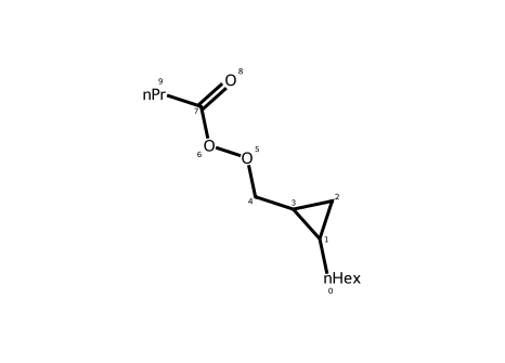 CCCCCCC1CC1COOC(=O)CCC